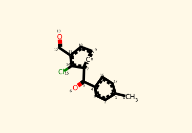 Cc1ccc(C(=O)c2cccc([C]=O)c2Cl)cc1